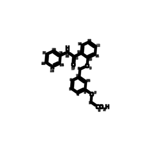 O=C(O)COc1cccc(COc2ccccc2C(=O)Nc2cccnc2)c1